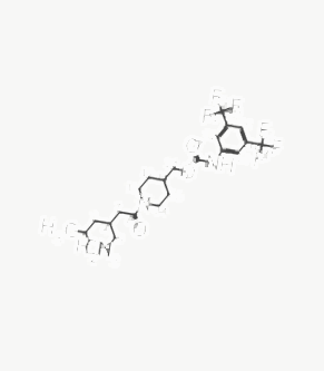 CC(C)CC(CN)CC(=O)N1CCC(COC(=O)Nc2cc(C(F)(F)F)cc(C(F)(F)F)c2)CC1